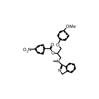 COc1ccc(OCC(CN(C)C2=NCc3ccccc32)OC(=O)c2ccc([N+](=O)[O-])cc2)cc1